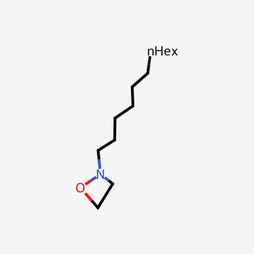 CCCCCCCCCCCCN1CCO1